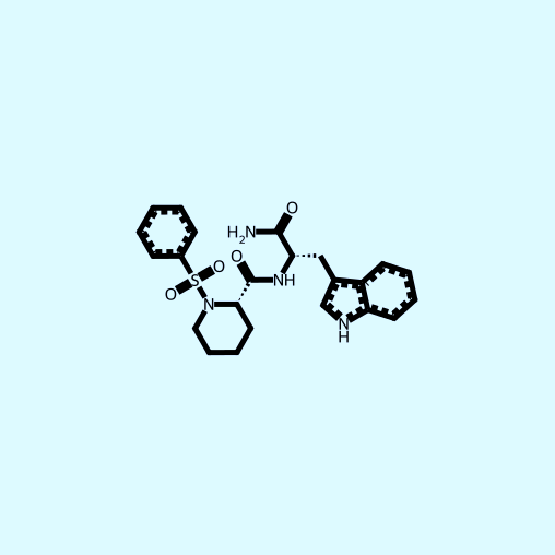 NC(=O)[C@H](Cc1c[nH]c2ccccc12)NC(=O)[C@@H]1CCCCN1S(=O)(=O)c1ccccc1